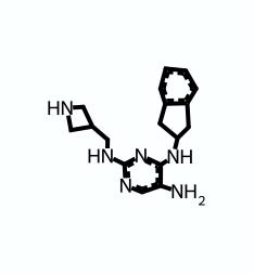 Nc1cnc(NCC2CNC2)nc1NC1Cc2ccccc2C1